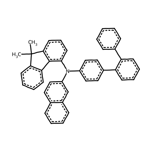 CC1(C)c2ccccc2-c2c(N(c3ccc(-c4ccccc4-c4ccccc4)cc3)c3ccc4ccccc4c3)cccc21